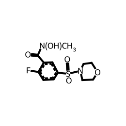 CN(O)C(=O)c1cc(S(=O)(=O)N2CCOCC2)ccc1F